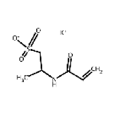 C=CC(=O)NC(C)CS(=O)(=O)[O-].[K+]